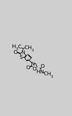 CNC(=O)[C@H]1CN(c2ccc3c(c2)sc(=O)n3C(C)C)C(=O)O1